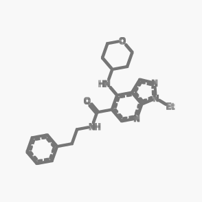 CCn1ncc2c(NC3CCOCC3)c(C(=O)NCCc3ccccc3)cnc21